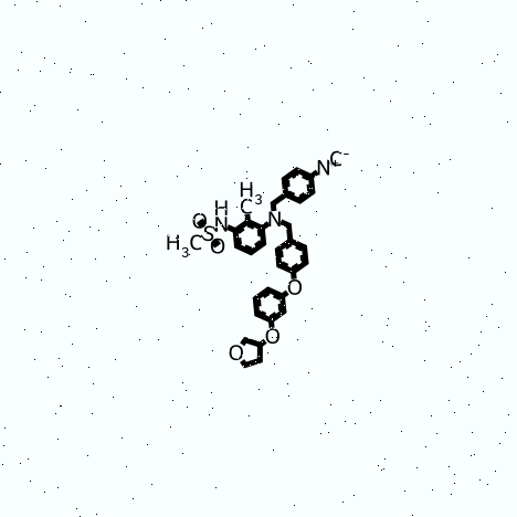 [C-]#[N+]c1ccc(CN(Cc2ccc(Oc3cccc(OC4CCOC4)c3)cc2)c2cccc(NS(C)(=O)=O)c2C)cc1